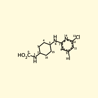 O=C(O)NC1CCC(Nc2cc(I)cc(Cl)n2)CC1